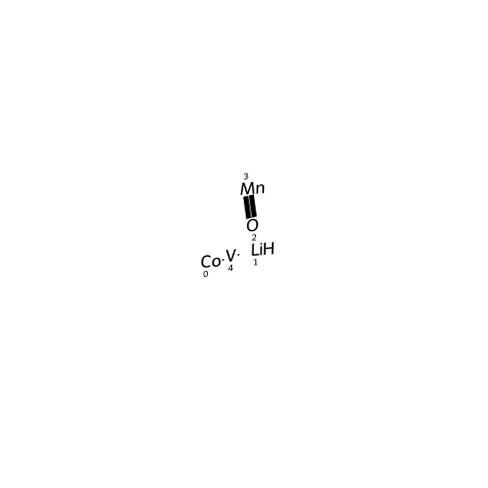 [Co].[LiH].[O]=[Mn].[V]